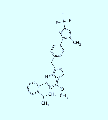 COc1nc(-c2ccccc2C(C)C)nc2c(Cc3ccc(-c4nc(C(F)(F)F)cn4C)cc3)ccn12